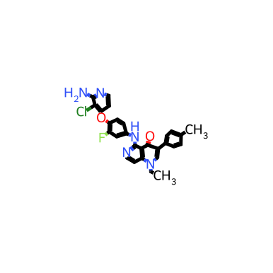 CCn1cc(-c2ccc(C)cc2)c(=O)c2c(Nc3ccc(Oc4ccnc(N)c4Cl)c(F)c3)nccc21